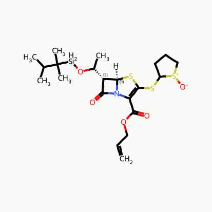 C=CCOC(=O)C1=C(SC2CCC[S+]2[O-])S[C@@H]2[C@@H](C(C)O[SiH2]C(C)(C)C(C)C)C(=O)N12